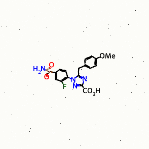 COc1ccc(Cc2nc(C(=O)O)nn2-c2ccc(S(N)(=O)=O)cc2F)cc1